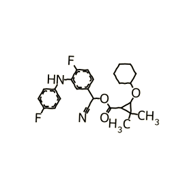 CC1(C)C(OC2CCCCC2)C1C(=O)OC(C#N)c1ccc(F)c(Nc2ccc(F)cc2)c1